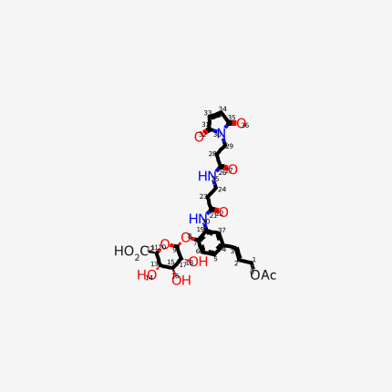 CC(=O)OC/C=C/c1ccc(O[C@@H]2O[C@H](C(=O)O)[C@@H](O)[C@H](O)[C@H]2O)c(NC(=O)CCNC(=O)CCN2C(=O)C=CC2=O)c1